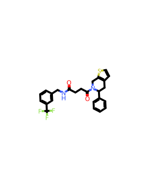 O=C(CCC(=O)N1Cc2sccc2CC1c1ccccc1)NCc1cccc(C(F)(F)F)c1